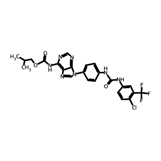 CC(C)COC(=O)Nc1ncnc2c1ncn2-c1ccc(NC(=O)Nc2ccc(Cl)c(C(F)(F)F)c2)cc1